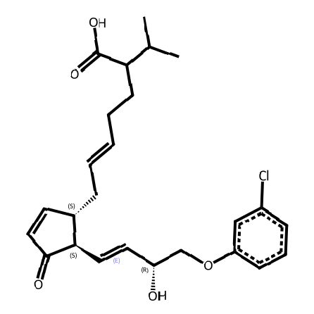 CC(C)C(CCC=CC[C@H]1C=CC(=O)[C@@H]1/C=C/[C@@H](O)COc1cccc(Cl)c1)C(=O)O